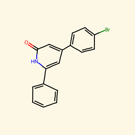 O=c1cc(-c2ccc(Br)cc2)cc(-c2ccccc2)[nH]1